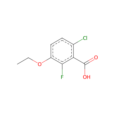 CCOc1ccc(Cl)c(C(=O)O)c1F